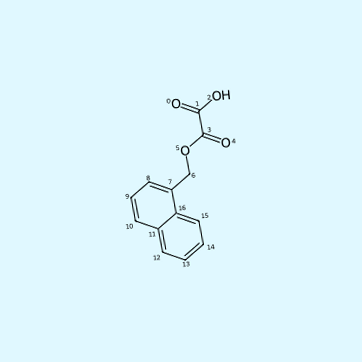 O=C(O)C(=O)OCc1cccc2ccccc12